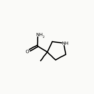 CC1(C(N)=O)CCNC1